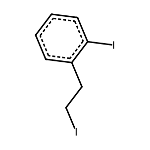 ICCc1ccccc1I